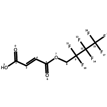 O=C(O)C=CC(=O)OCC(F)(F)C(F)(F)C(F)(F)F